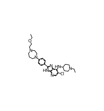 CCOCCN1CCCN(c2ccc(-c3nc4c(NC5CCN(CC)CC5)c(Cl)cnc4[nH]3)cc2)CC1